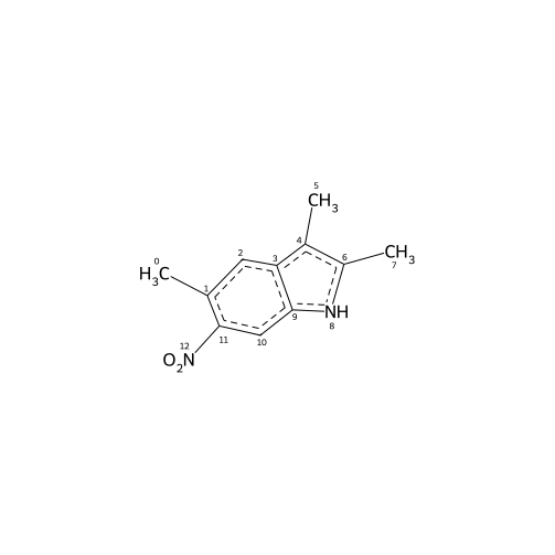 Cc1cc2c(C)c(C)[nH]c2cc1[N+](=O)[O-]